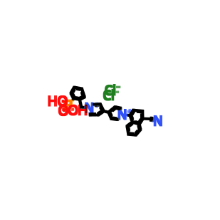 N#Cc1ccc(-[n+]2ccc(-c3cc[n+](Cc4ccccc4P(=O)(O)O)cc3)cc2)c2ccccc12.[Cl-].[Cl-]